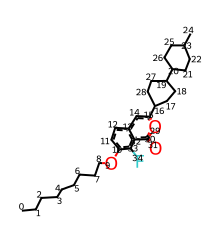 CCCCCCCCCOc1ccc2cc(C3CCC(C4CCC(C)CC4)CC3)oc(=O)c2c1F